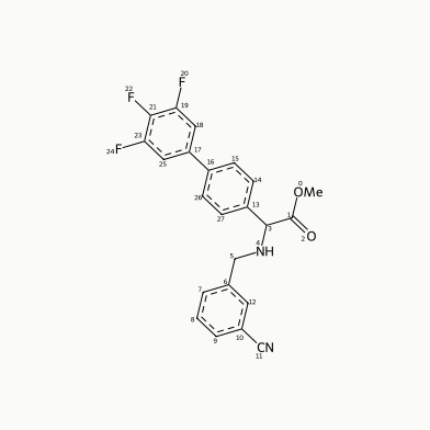 COC(=O)C(NCc1cccc(C#N)c1)c1ccc(-c2cc(F)c(F)c(F)c2)cc1